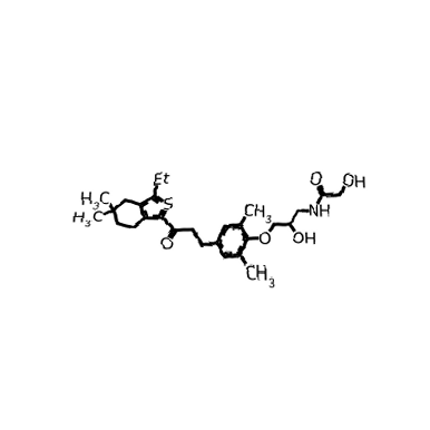 CCc1sc(C(=O)CCc2cc(C)c(OCC(O)CNC(=O)CO)c(C)c2)c2c1CC(C)(C)CC2